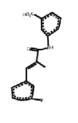 C/C(=C\c1cccc(F)c1)C(=O)Nc1cccc(C(=O)O)c1